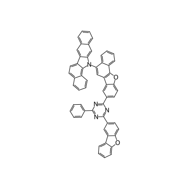 c1ccc(-c2nc(-c3ccc4oc5ccccc5c4c3)nc(-c3ccc4oc5c6ccccc6c(-n6c7cc8ccccc8cc7c7ccc8ccccc8c76)cc5c4c3)n2)cc1